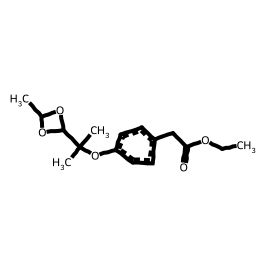 CCOC(=O)Cc1ccc(OC(C)(C)C2OC(C)O2)cc1